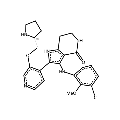 COc1c(Cl)cccc1Nc1c(-c2ccncc2OC[C@H]2CCCN2)[nH]c2c1C(=O)NCC2